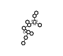 c1ccc(-c2ccc(-c3c4ccccc4cc4c3oc3cccc(-c5ccc(-c6nc(-c7ccccc7)nc(-c7ccc8ccccc8c7)n6)c6ccccc56)c34)cc2)cc1